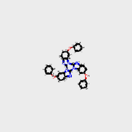 c1ccc(Oc2ccc3nc4n(c3c2)c2nc3ccc(Oc5ccccc5)cc3n2c2nc3ccc(Oc5ccccc5)cc3n42)cc1